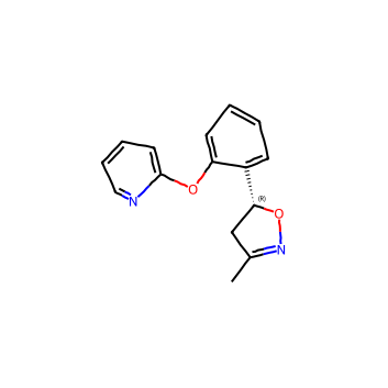 CC1=NO[C@@H](c2ccccc2Oc2ccccn2)C1